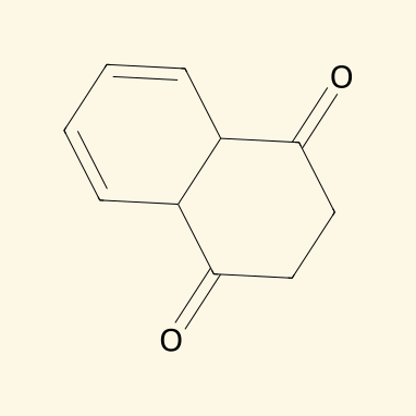 O=C1CCC(=O)C2C=CC=CC12